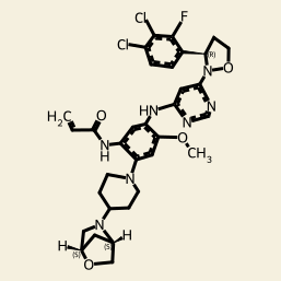 C=CC(=O)Nc1cc(Nc2cc(N3OCC[C@@H]3c3ccc(Cl)c(Cl)c3F)ncn2)c(OC)cc1N1CCC(N2C[C@@H]3C[C@H]2CO3)CC1